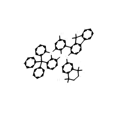 Cc1cc(-c2c(Nc3ccc4c(c3)C(C)(C)CCC4(C)C)ccc3c2C(C)(C)c2ccccc2-3)c2c(c1)N1c3ccccc3C(c3ccccc3)(c3ccccc3)c3cccc(c31)B2